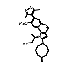 COCC(C)n1c(C2CCCC(C)CCC2)cc2cnc3cc(-c4c(C)noc4C)c(OC)cc3c21